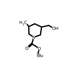 CC1CC(CO)CN(C(=O)OC(C)(C)C)C1